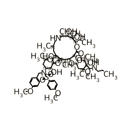 CCCNC[C@]1(O)[C@H](C)O[C@@H](O[C@H]2[C@H](C)[C@@H](O[C@@H]3O[C@H](C)C[C@H](N(Cc4ccc(OC)cc4)S(=O)(=O)c4ccc(OC)cc4)[C@H]3O)[C@](C)(O)C[C@@H](C)CN[C@H](C)[C@@H](O)[C@](C)(O)[C@@H](CC)OC(=O)[C@@H]2C)C[C@@]1(C)OC